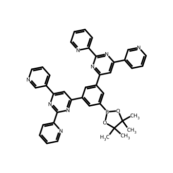 CC1(C)OB(c2cc(-c3cc(-c4cccnc4)nc(-c4ccccn4)n3)cc(-c3cc(-c4cccnc4)nc(-c4ccccn4)n3)c2)OC1(C)C